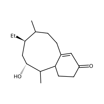 CC[C@@H]1C[C@@H](O)C(C)C2CCC(=O)C=C2CCC1C